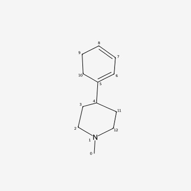 CN1CCC(C2=CC=CCC2)CC1